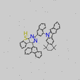 CC1(C)CCC(C)(C)c2cc3c(cc21)c1cc2ccccc2cc1n3-c1cc(C2=NC3=[SH]c4ccccc4C3C(c3cc4ccccc4c4ccccc34)=N2)cc2ccccc12